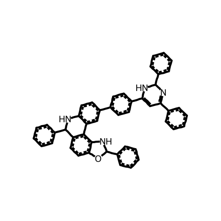 C1=C(c2ccc(-c3ccc4c(c3)-c3c(ccc5c3NC(c3ccccc3)O5)C(c3ccccc3)N4)cc2)NC(c2ccccc2)N=C1c1ccccc1